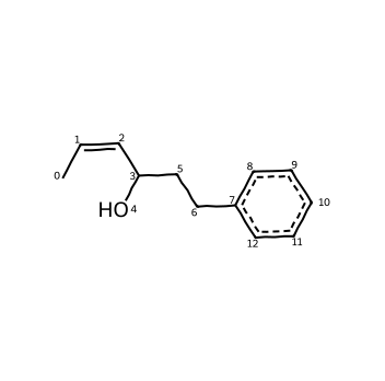 C/C=C\C(O)CCc1ccccc1